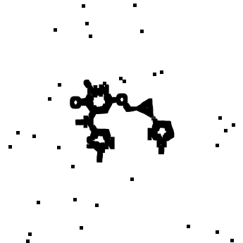 Cc1ncc(N(C)c2cc(OC[C@H]3C[C@@H]3c3ccn(C)n3)nn(C)c2=O)s1